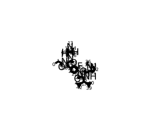 CCC(=O)N[C@@H](C(=O)N1C[C@H]2CN(C)C[C@H]2C1)[C@@H](C)c1ccc(NC(=O)[C@@H](NC(=O)c2ccnn2CC)C(C2CC2)C2CC2)c(F)c1